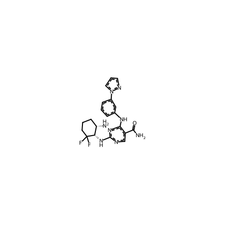 NC(=O)c1cnc(N[C@H]2[C@@H](N)CCCC2(F)F)nc1Nc1cccc(-n2cccn2)c1